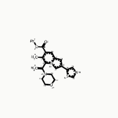 C=C(c1c(C)c(C(=O)OC(C)C)cc2cc(-c3cncs3)cn12)N1CCOCC1